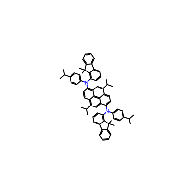 CC(C)c1ccc(N(c2cccc3c2C(C)(C)c2ccccc2-3)c2ccc3c(C(C)C)cc4c(N(c5ccc(C(C)C)cc5)c5cccc6c5C(C)(C)c5ccccc5-6)ccc5c(C(C)C)cc2c3c54)cc1